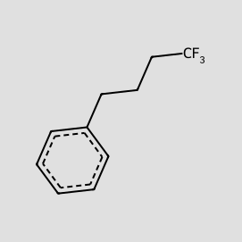 FC(F)(F)CCCc1ccccc1